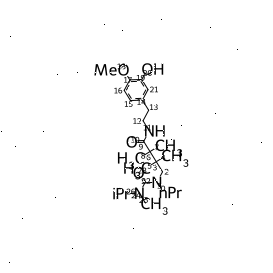 CCCN(CC(C)(C)C(C)(C)C(=O)NCCc1ccc(OC)c(O)c1)C(=O)N(C)C(C)C